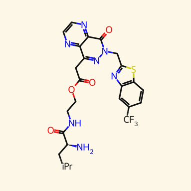 CC(C)C[C@H](N)C(=O)NCCOC(=O)Cc1nn(Cc2nc3cc(C(F)(F)F)ccc3s2)c(=O)c2nccnc12